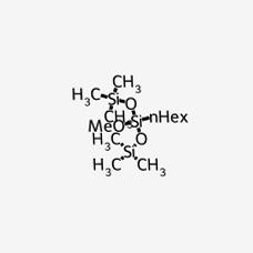 CCCCCC[Si](OC)(O[Si](C)(C)C)O[Si](C)(C)C